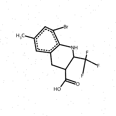 Cc1cc(Br)c2c(c1)CC(C(=O)O)C(C(F)(F)F)N2